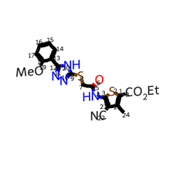 CCOC(=O)c1sc(NC(=O)CSc2nnc(-c3ccccc3OC)[nH]2)c(C#N)c1C